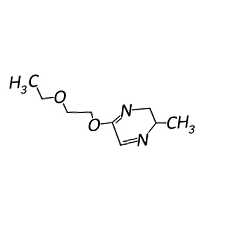 CCOCCOC1=NCC(C)N=C1